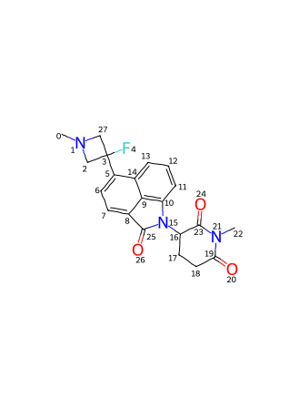 CN1CC(F)(c2ccc3c4c(cccc24)N(C2CCC(=O)N(C)C2=O)C3=O)C1